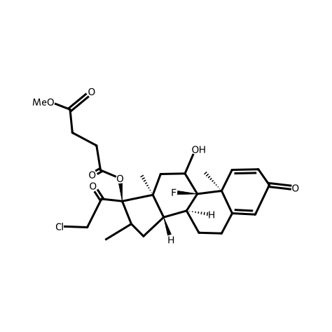 COC(=O)CCC(=O)O[C@]1(C(=O)CCl)C(C)C[C@H]2[C@@H]3CCC4=CC(=O)C=C[C@]4(C)[C@@]3(F)C(O)C[C@@]21C